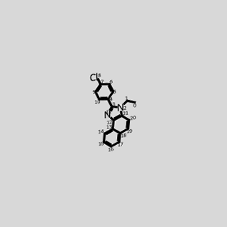 CCn1c(-c2ccc(Cl)cc2)nc2c3ccccc3ccc21